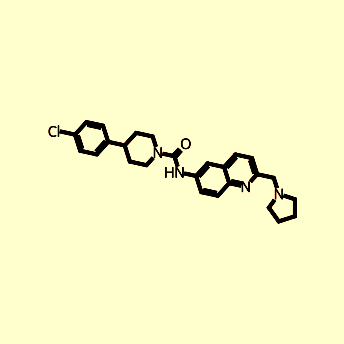 O=C(Nc1ccc2nc(CN3CCCC3)ccc2c1)N1CCC(c2ccc(Cl)cc2)CC1